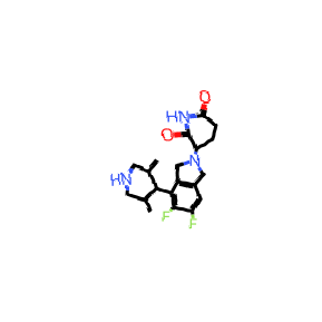 CC1CNCC(C)C1c1c(F)c(F)cc2c1CN(C1CCC(=O)NC1=O)C2